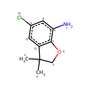 CC1(C)COc2c(N)cc(Cl)cc21